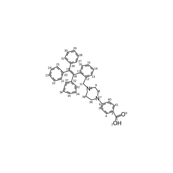 O=C(O)c1ccc(N2CCN(Cc3ccccc3C(=C(c3ccccc3)c3ccccc3)c3ccccc3)CC2)cc1